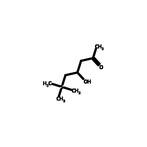 CC(=O)CC(O)CS(C)(C)C